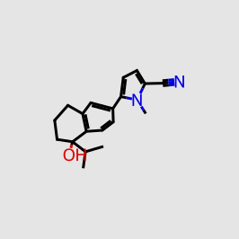 CC(C)C1(O)CCCc2cc(-c3ccc(C#N)n3C)ccc21